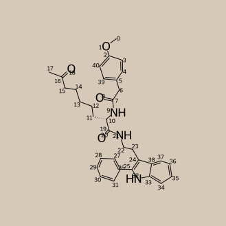 COc1ccc(CC(=O)N[C@@H](CCCCCC(C)=O)C(=O)NCCc2c(-c3ccccc3)[nH]c3ccccc23)cc1